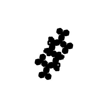 CC(C)(C)OC(=O)N(c1ccc(N(C(=O)OC(C)(C)C)c2ccc(N(C(=O)OC(C)(C)C)c3ccc(N(c4ccc(N(c5ccccc5)c5ccccc5)cc4)c4ccc(N(c5ccccc5)c5ccccc5)cc4)cc3)cc2)cc1)c1ccc(N(C(=O)OC(C)(C)C)c2ccc(N(c3ccc(N(c4ccccc4)c4ccccc4)cc3)c3ccc(N(c4ccccc4)c4ccccc4)cc3)cc2)cc1